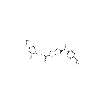 NSc1ccc(C(=O)N2CC3CN(C(=O)CCc4ccc(OC(F)(F)F)cc4F)CC3C2)cc1